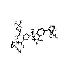 Cn1nccc1-c1ccc(S(=O)(=O)[C@@H]2C[C@@H](C(=O)NC3(C#N)CC3)[C@H](C(=O)N3CC(F)(F)C3)C2)c(C(F)(F)F)c1